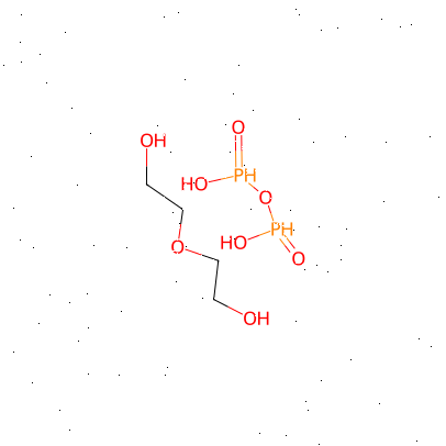 O=[PH](O)O[PH](=O)O.OCCOCCO